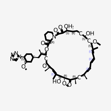 CO[C@H]1C[C@@H](O)CC[C@@H](C)[C@H](O)C(=O)C(=O)N2CCCC[C@@H]2C(=O)O[C@@H]([C@H](C)C[C@@H]2CC[C@H](n3cnnn3)[C@H](OC)C2)CC(=O)[C@H](C)/C=C(\C)[C@@H](O)[C@@H](OC)C(=O)[C@H](C)C[C@H](C)\C=C/C=C/C=C/1C